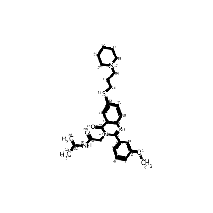 COc1cccc(-c2nc3ccc(SCCCN4CCCCC4)cc3c(=O)n2CC(=O)NC(C)C)c1